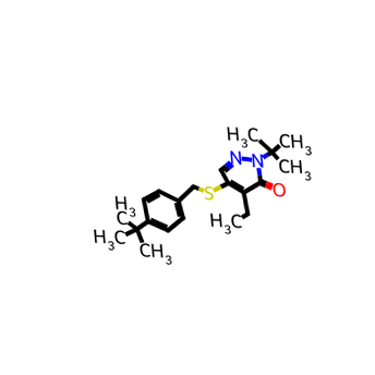 CCc1c(SCc2ccc(C(C)(C)C)cc2)cnn(C(C)(C)C)c1=O